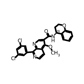 COc1c(C(=O)N[C@H]2CCOc3ccccc32)cnc2c(-c3cc(Cl)cc(Cl)c3)nccc12